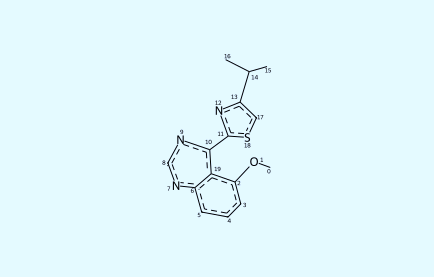 COc1cccc2n[c]nc(-c3nc(C(C)C)cs3)c12